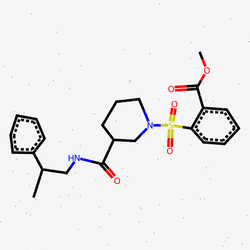 COC(=O)c1ccccc1S(=O)(=O)N1CCCC(C(=O)NCC(C)c2ccccc2)C1